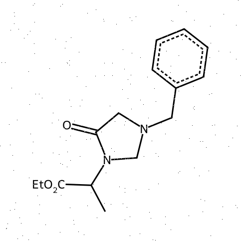 CCOC(=O)C(C)N1CN(Cc2ccccc2)CC1=O